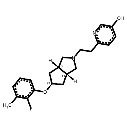 Cc1cccc(O[C@H]2C[C@@H]3CN(CCc4ccc(O)cn4)C[C@@H]3C2)c1F